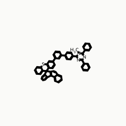 CN1C(c2ccccc2)=NC(c2ccccc2)=NC1c1ccc(-c2cccc(-c3ccc4c(c3)Sc3ccccc3C43c4ccccc4-c4c3ccc3ccccc43)c2)cc1